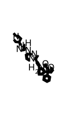 CN1CCC(n2cc(Nc3cccn4c(C#Cc5cccc(C6(c7ccccc7)CCON6C(N)=O)c5)cnc34)cn2)CC1